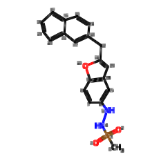 CS(=O)(=O)NNc1ccc2oc(Cc3ccc4ccccc4c3)cc2c1